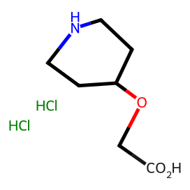 Cl.Cl.O=C(O)COC1CCNCC1